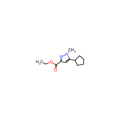 CCOC(=O)c1cc(C2CCCC2)n(C)n1